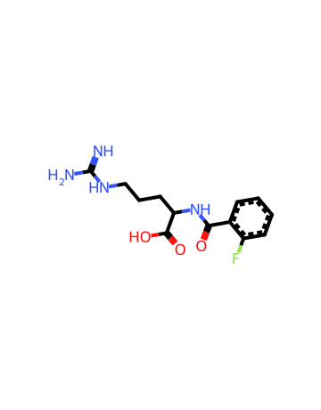 N=C(N)NCCCC(NC(=O)c1ccccc1F)C(=O)O